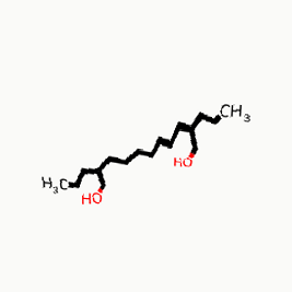 CCCC(CO)CCCCCCCC(CO)CCC